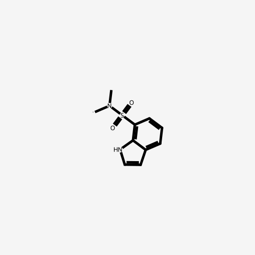 [CH2]N(C)S(=O)(=O)c1cccc2cc[nH]c12